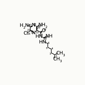 CC(C)CCCCNC(=N)NC(=O)c1nc(Cl)c(N)nc1N